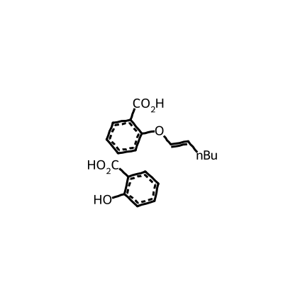 CCCCC=COc1ccccc1C(=O)O.O=C(O)c1ccccc1O